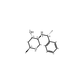 C[C@H]1C[C@H](O)[C@@H](N[C@H](C)c2ccccc2)CO1